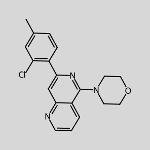 Cc1ccc(-c2cc3ncccc3c(N3CCOCC3)n2)c(Cl)c1